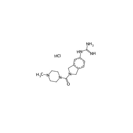 CN1CCN(C(=O)N2Cc3ccc(NC(=N)N)cc3C2)CC1.Cl